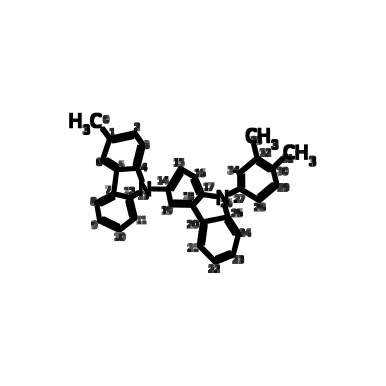 Cc1ccc2c(c1)c1ccccc1n2-c1ccc2c(c1)c1ccccc1n2-c1ccc(C)c(C)c1